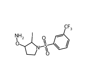 NOC1CCN(S(=O)(=O)c2cccc(C(F)(F)F)c2)C1I